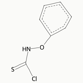 S=C(Cl)NOc1ccccc1